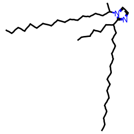 CCCCCCCCCCCCCCCCC(CCCCCC)c1nccn1C(C)CCCCCCCCCCCCCCCC